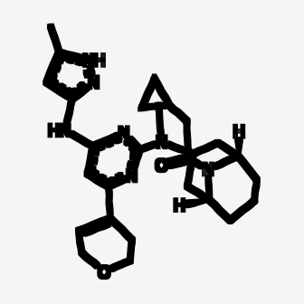 Cc1cc(Nc2cc(C3=CCOCC3)nc(N(C)C3C[C@H]4CCC[C@@H](C3)N4C(=O)CC3CC3)n2)n[nH]1